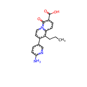 CCCc1c(-c2ccc(N)nc2)ccn2c(=O)c(C(=O)O)ccc12